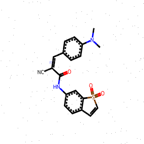 CN(C)c1ccc(/C=C(/C#N)C(=O)Nc2ccc3c(c2)S(=O)(=O)C=C3)cc1